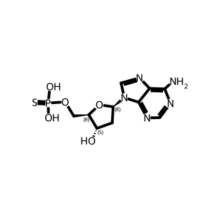 Nc1ncnc2c1ncn2[C@H]1C[C@H](O)[C@@H](COP(O)(O)=S)O1